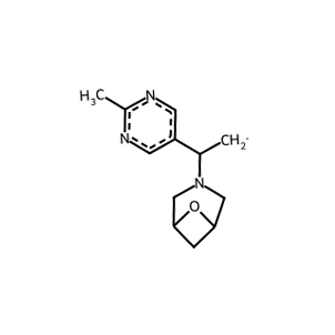 [CH2]C(c1cnc(C)nc1)N1CC2CC(C1)O2